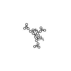 CC1(C)c2cc(-c3ccc4c(c3)c3ccccc3n4-c3ccccc3)ccc2-c2ccc(N(c3ccc4c(c3)C(C)(C)c3cc(-c5ccc6c7ccccc7n(-c7ccccc7)c6c5)ccc3-4)c3ccc(-c4ccc5c(c4)c4ccccc4n5-c4ccccc4)c4ccccc34)cc21